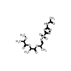 COC(C)C(=O)OC(C)C(=O)OC(C)/C=N/S(=O)(=O)c1nnc(NC(C)=O)s1